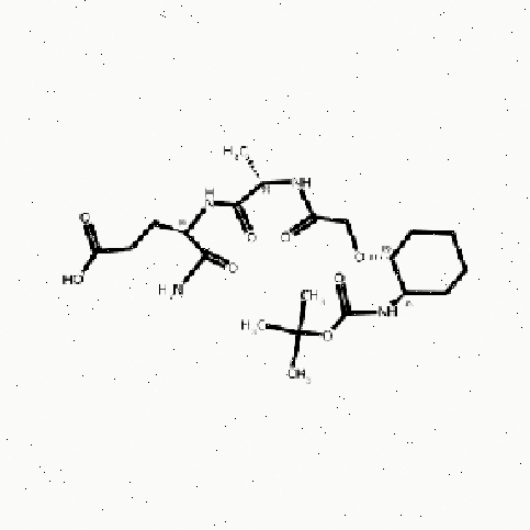 C[C@H](NC(=O)CO[C@@H]1CCCC[C@H]1NC(=O)OC(C)(C)C)C(=O)N[C@H](CCC(=O)O)C(N)=O